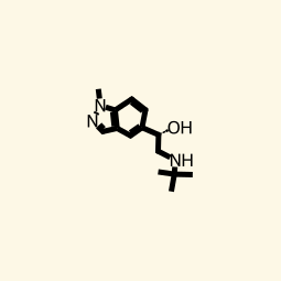 Cn1ncc2cc([C@H](O)CNC(C)(C)C)ccc21